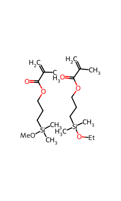 C=C(C)C(=O)OCCC[Si](C)(C)OC.C=C(C)C(=O)OCCC[Si](C)(C)OCC